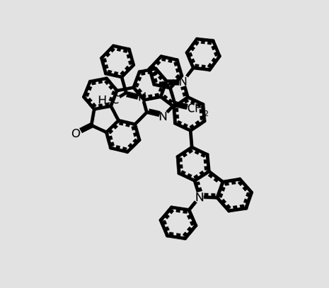 C=C(/N=C(\N=C(/C)c1ccccc1)c1cccc2c1-c1c(cccc1-c1ccc3c(c1)c1cc(-c4ccc5c(c4)c4ccccc4n5-c4ccccc4)ccc1n3-c1ccccc1)C2=O)c1ccccc1